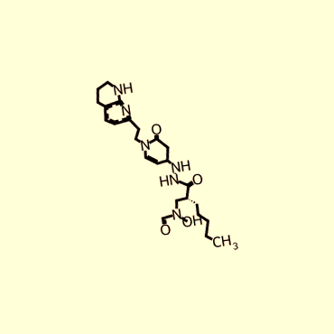 CCCCC[C@H](CN(O)C=O)C(=O)NNC1C=CN(CCc2ccc3c(n2)NCCC3)C(=O)C1